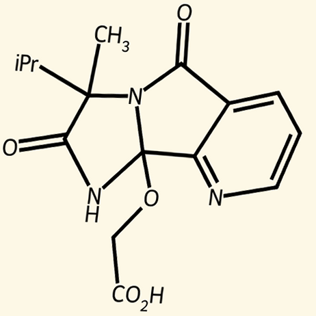 CC(C)C1(C)C(=O)NC2(OCC(=O)O)c3ncccc3C(=O)N21